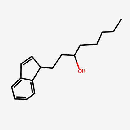 CCCCCC(O)CCC1C=Cc2ccccc21